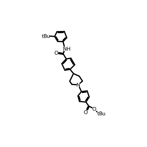 CC(C)(C)OC(=O)c1ccc(N2CCC(c3ccc(C(=O)Nc4cccc(C(C)(C)C)c4)cc3)CC2)cc1